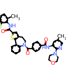 Cc1cnc(N2CCOCC2)c(NC(=O)c2ccc(C(=O)N3CCc4cc(C(=O)Nc5c(C)cccc5F)sc4-c4ccccc43)cc2)c1